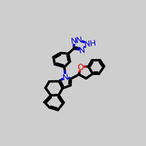 c1cc(-c2nn[nH]n2)cc(-n2c(C3Cc4ccccc4O3)cc3c2CCc2ccccc2-3)c1